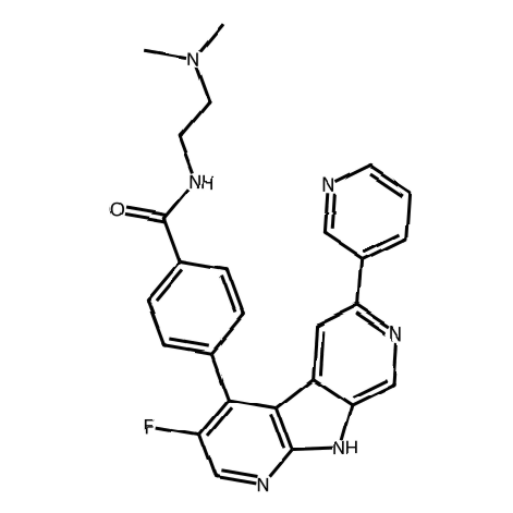 CN(C)CCNC(=O)c1ccc(-c2c(F)cnc3[nH]c4cnc(-c5cccnc5)cc4c23)cc1